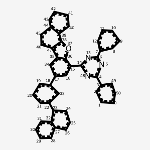 c1ccc(-c2nc(-c3ccccc3)nc(-c3cc(-c4cccc(-c5cccc6ccccc56)c4)cc4c3oc3c5ccccc5ccc43)n2)cc1